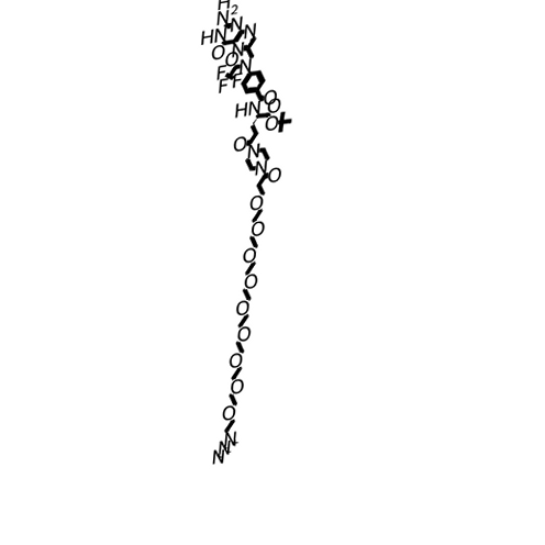 CC(C)(C)OC(=O)[C@H](CCC(=O)N1CCN(C(=O)CCOCCOCCOCCOCCOCCOCCOCCOCCOCCN=[N+]=[N-])CC1)NC(=O)c1ccc(N(Cc2cnc3nc(N)[nH]c(=O)c3n2)C(=O)C(F)(F)F)cc1